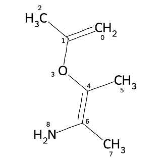 C=C(C)O/C(C)=C(/C)N